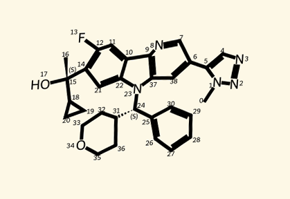 Cn1nncc1-c1cnc2c3cc(F)c([C@@](C)(O)C4CC4)cc3n([C@H](c3ccccc3)C3CCOCC3)c2c1